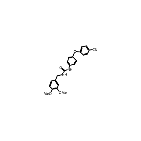 COc1ccc(CNC(=O)Nc2ccc(Oc3ccc(C#N)cc3)cc2)cc1OC